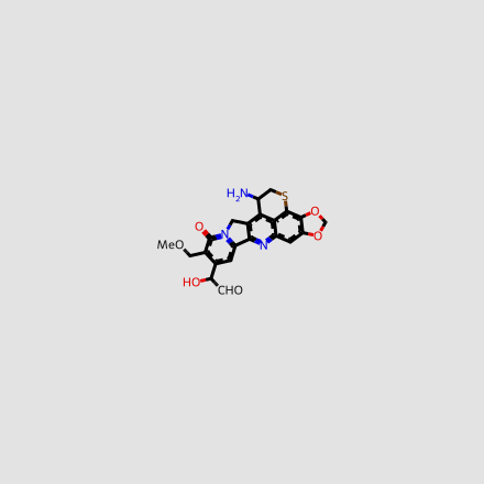 COCc1c(C(O)C=O)cc2n(c1=O)Cc1c-2nc2cc3c(c4c2c1C(N)CS4)OCO3